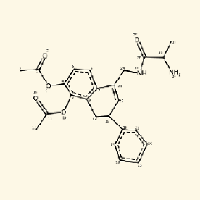 CC(=O)Oc1ccc2c(c1OC(C)=O)CC(c1ccccc1)C=C2CNC(=O)C(C)N